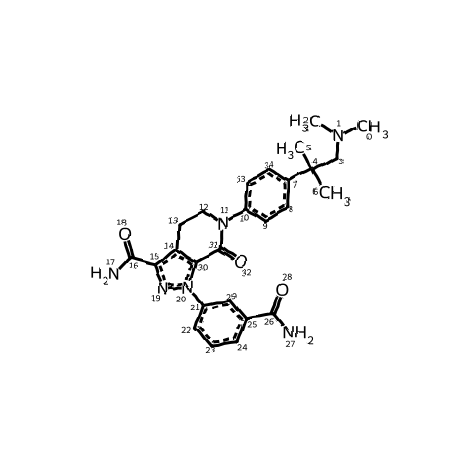 CN(C)CC(C)(C)c1ccc(N2CCc3c(C(N)=O)nn(-c4cccc(C(N)=O)c4)c3C2=O)cc1